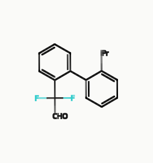 CC(C)c1ccccc1-c1ccccc1C(F)(F)C=O